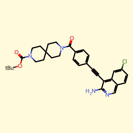 CC(C)(C)OC(=O)N1CCC2(CC1)CCN(C(=O)c1ccc(C#Cc3c(N)ncc4ccc(Cl)cc34)cc1)CC2